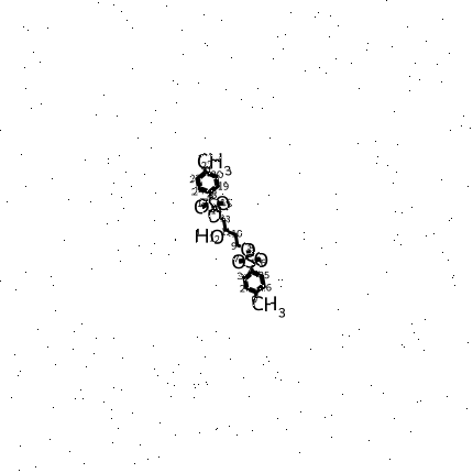 Cc1ccc(S(=O)(=O)OCC[C@@H](O)COS(=O)(=O)c2ccc(C)cc2)cc1